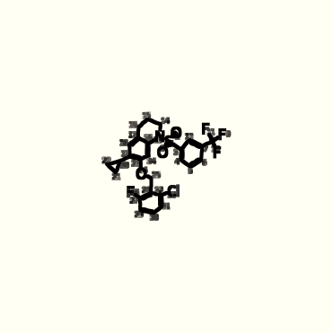 O=S(=O)(c1cccc(C(F)(F)F)c1)N1CCCc2cc(C3CC3)c(OCc3c(F)cccc3Cl)cc21